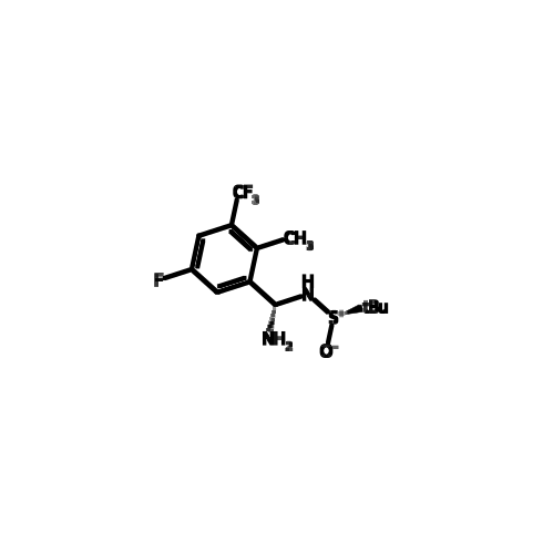 Cc1c([C@@H](N)N[S@+]([O-])C(C)(C)C)cc(F)cc1C(F)(F)F